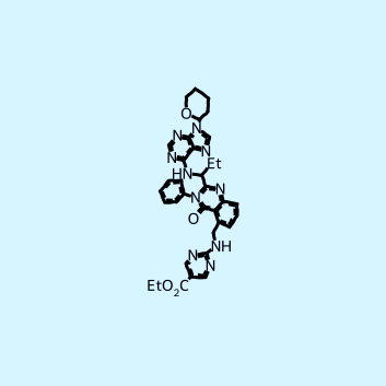 CCOC(=O)c1cnc(NCc2cccc3nc(C(CC)Nc4ncnc5c4ncn5C4CCCCO4)n(-c4ccccc4)c(=O)c23)nc1